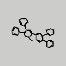 [CH]1c2cc(-c3ccccc3)c(-c3ccccc3)cc2-c2cc(-c3ccccc3)c(-c3ccccc3)cc21